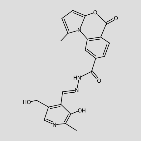 Cc1ncc(CO)c(/C=N/NC(=O)c2ccc3c(=O)oc4ccc(C)n4c3c2)c1O